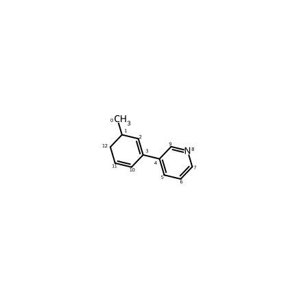 CC1C=C(c2cccnc2)C=CC1